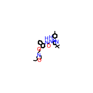 CCC1CN(CCOc2ccc(NC(=O)Nc3cc(C(C)(C)C)nn3-c3ccc(C)cc3)c3ccccc23)CCO1